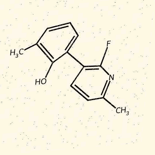 Cc1ccc(-c2cccc(C)c2O)c(F)n1